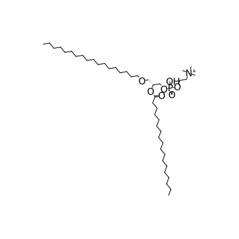 CCCCCCCCCCCCCCCCCCOC[C@H](COP(=O)(O)OCC[N+](C)(C)C)OC(=O)CCCCCCCCCCCCCCCCC